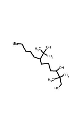 CC(C)(C)CCCCC(CCCC(O)C(C)(C)CO)C(C)(C)O